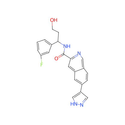 O=C(NC(CCO)c1cccc(F)c1)c1cc2cc(-c3cn[nH]c3)ccc2cn1